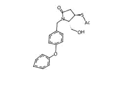 CC(=O)S[C@@H]1CC(=O)N(Cc2ccc(Oc3ccccc3)cc2)[C@H]1CO